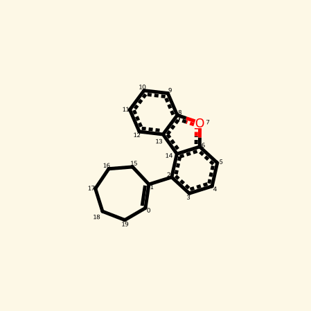 C1=C(c2cccc3oc4ccccc4c23)CCCCC1